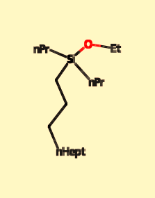 CCCCCCCCCC[Si](CCC)(CCC)OCC